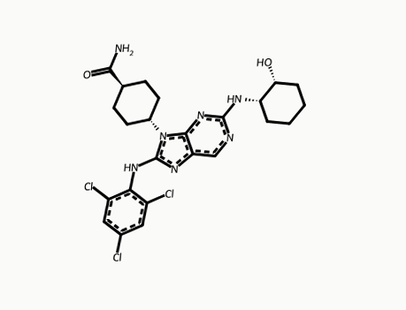 NC(=O)[C@H]1CC[C@H](n2c(Nc3c(Cl)cc(Cl)cc3Cl)nc3cnc(N[C@H]4CCCC[C@H]4O)nc32)CC1